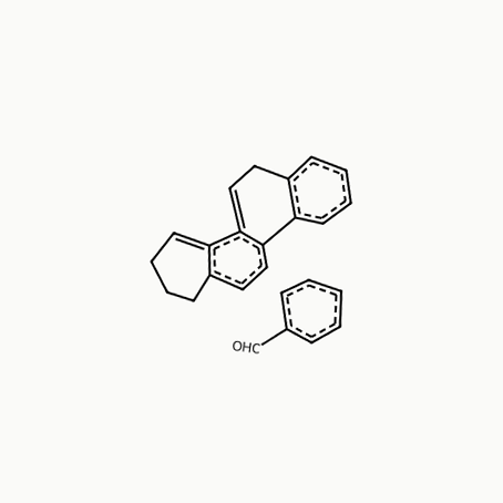 C1=c2c(ccc3c2=CCc2ccccc2-3)CCC1.O=Cc1ccccc1